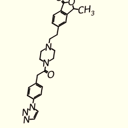 CC1OC(=O)c2ccc(CCN3CCN(C(=O)Cc4ccc(-n5ccnn5)cc4)CC3)cc21